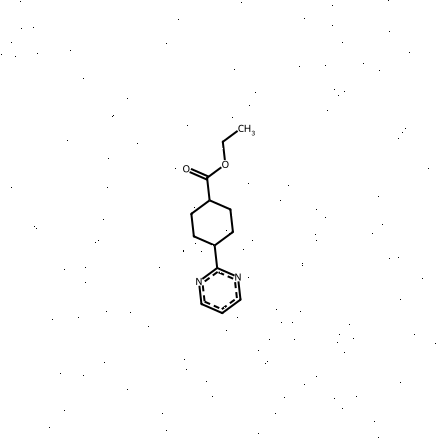 CCOC(=O)C1CCC(c2ncccn2)CC1